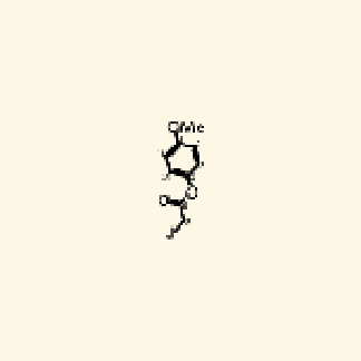 COc1ccc(OC(=O)CI)cc1